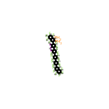 Fc1c(F)c(-c2c(F)c(F)c(-c3c(F)c(F)c(-c4c(P)c(P)c5c(F)c(F)c(F)c(F)c5c4F)c(I)c3I)c(I)c2F)c(F)c(F)c1-c1c(F)c(F)c(-c2c(F)c(F)c3c(F)c(F)c(F)c(F)c3c2F)c(F)c1F